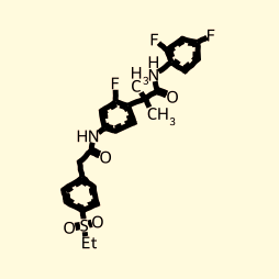 CCS(=O)(=O)c1ccc(CC(=O)Nc2ccc(C(C)(C)C(=O)Nc3ccc(F)cc3F)c(F)c2)cc1